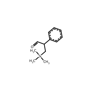 C[Si](C)(C)CC(C=O)c1ccccc1